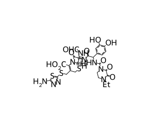 CCN1CCN(C(=O)NC(C(=O)N[C@]2(NC=O)C(=O)N3C(C(=O)O)=C(CSc4nnc(N)s4)CS[C@@H]32)c2ccc(O)c(O)c2)C(=O)C1=O